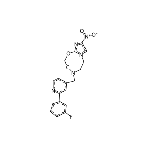 O=[N+]([O-])c1cn2c(n1)OCCN(Cc1ccnc(-c3cccc(F)c3)c1)CC2